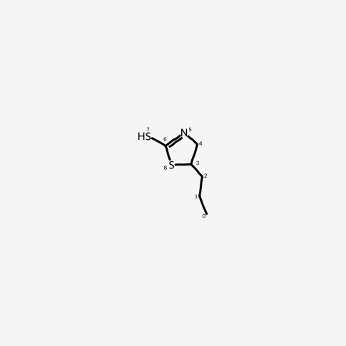 CCCC1CN=C(S)S1